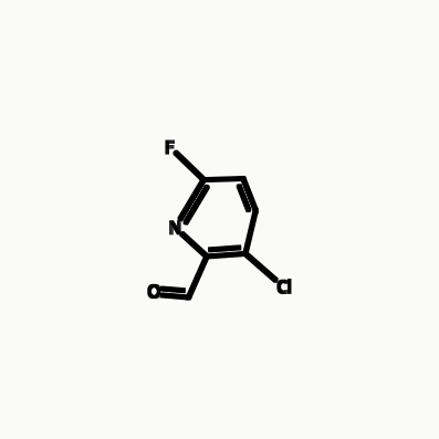 O=Cc1nc(F)ccc1Cl